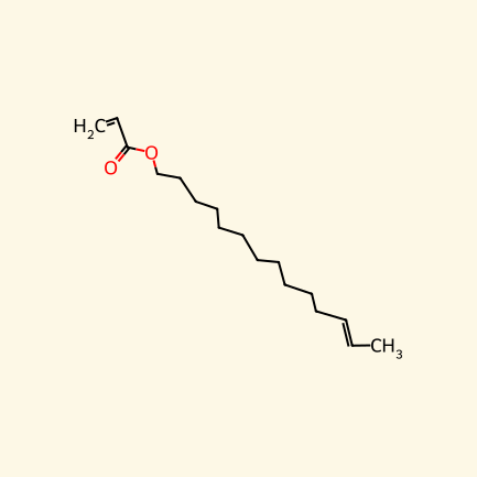 C=CC(=O)OCCCCCCCCCCCC=CC